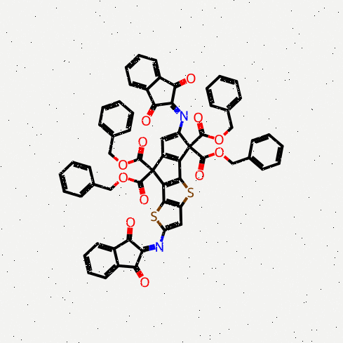 O=C(OCc1ccccc1)C1(C(=O)OCc2ccccc2)C(N=c2c(=O)c3ccccc3c2=O)=CC2=C1c1sc3cc(N=c4c(=O)c5ccccc5c4=O)sc3c1C2(C(=O)OCc1ccccc1)C(=O)OCc1ccccc1